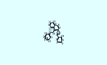 c1ccc(COc2ccc3ccccc3c2CCc2ccncc2)cc1